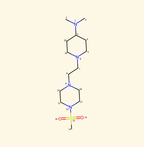 CN(C)C1CCN(CCN2CCN(S(C)(=O)=O)CC2)CC1